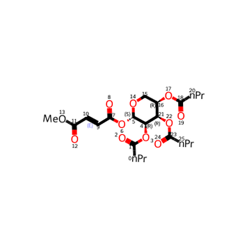 CCCC(=O)O[C@H]1[C@H](OC(=O)/C=C/C(=O)OC)OC[C@@H](OC(=O)CCC)[C@H]1OC(=O)CCC